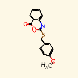 COc1ccc(CSc2nc3ccccc3c(=O)o2)cc1